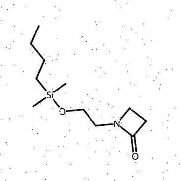 CCCC[Si](C)(C)OCCN1CCC1=O